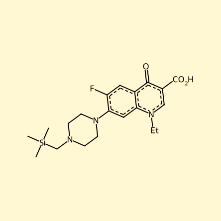 CCn1cc(C(=O)O)c(=O)c2cc(F)c(N3CCN(C[Si](C)(C)C)CC3)cc21